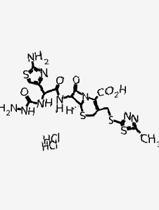 Cc1nnc(SCC2=C(C(=O)O)N3C(=O)C(NC(=O)C(NC(=O)NN)c4csc(N)n4)[C@@H]3SC2)s1.Cl.Cl